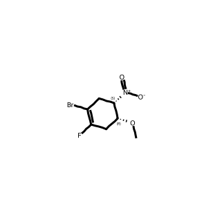 CO[C@@H]1CC(F)=C(Br)C[C@@H]1[N+](=O)[O-]